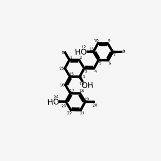 CC1=C/C(=C\c2cc(C)ccc2O)C(O)/C(=C\c2cc(C)ccc2O)C1